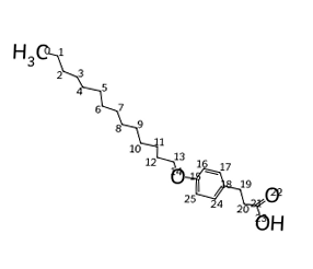 CCCCCCCCCCCCCCOc1ccc(CCC(=O)O)cc1